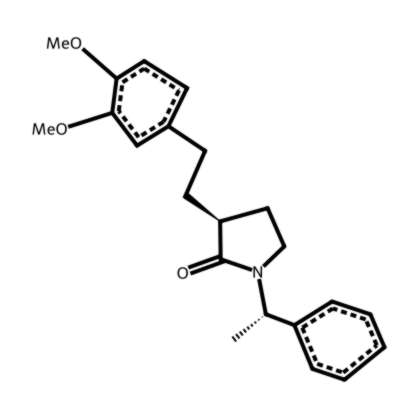 COc1ccc(CC[C@H]2CCN([C@@H](C)c3ccccc3)C2=O)cc1OC